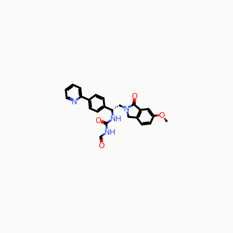 COc1ccc2c(c1)C(=O)N(C[C@H](NC(=O)NC=O)c1ccc(-c3ccccn3)cc1)C2